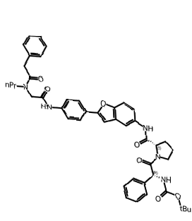 CCCN(CC(=O)Nc1ccc(-c2cc3cc(NC(=O)[C@@H]4CCCN4C(=O)[C@H](NC(=O)OC(C)(C)C)c4ccccc4)ccc3o2)cc1)C(=O)Cc1ccccc1